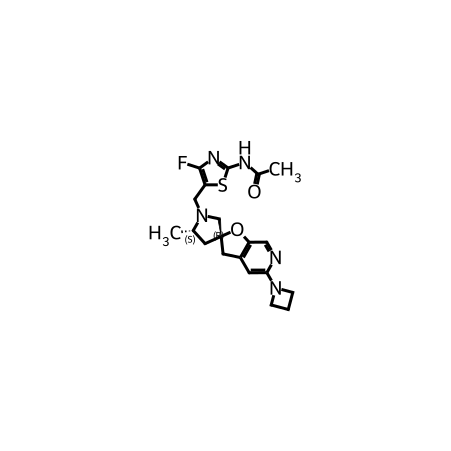 CC(=O)Nc1nc(F)c(CN2C[C@@]3(Cc4cc(N5CCC5)ncc4O3)C[C@@H]2C)s1